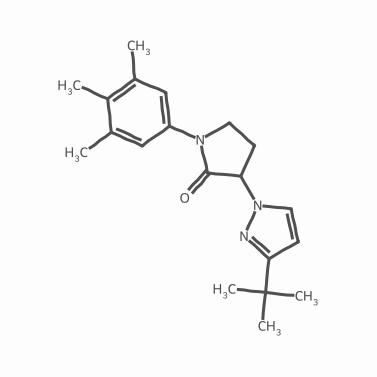 Cc1cc(N2CCC(n3ccc(C(C)(C)C)n3)C2=O)cc(C)c1C